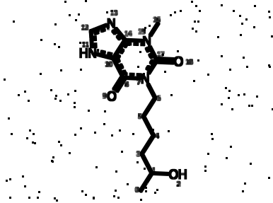 CC(O)CCCCn1c(=O)c2[nH]cnc2n(C)c1=O